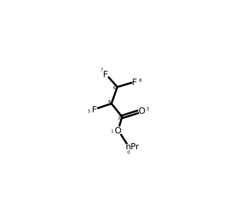 CCCOC(=O)C(F)C(F)F